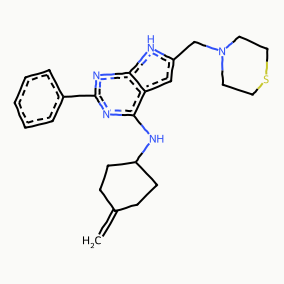 C=C1CCC(Nc2nc(-c3ccccc3)nc3[nH]c(CN4CCSCC4)cc23)CC1